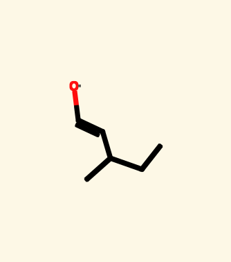 CCC(C)C=C[O]